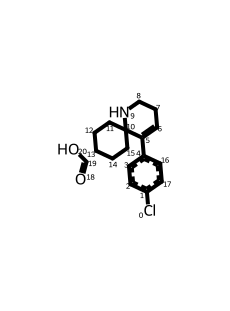 Clc1ccc(C2=CCCNC23CCCCC3)cc1.O=CO